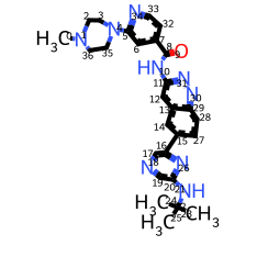 CN1CCN(c2cc(C(=O)Nc3cc4cc(-c5cncc(NC(C)(C)C)n5)ccc4nn3)ccn2)CC1